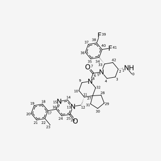 CN[C@@H]1CCN(C(=O)N2CC[C@@H](Cn3cnc(-c4ccccc4C)cc3=O)C3(CCCC3)C2)[C@H](c2cccc(F)c2F)C1